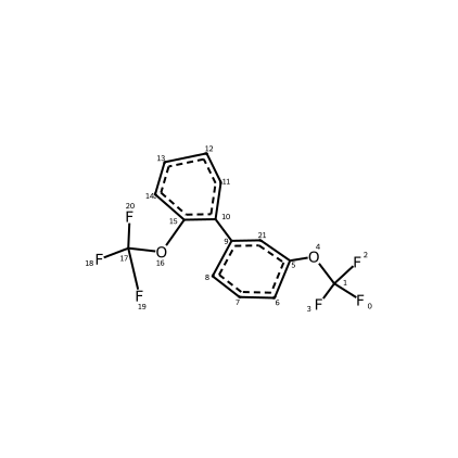 FC(F)(F)Oc1cccc(-c2ccc[c]c2OC(F)(F)F)c1